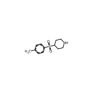 Cc1ccc(S(=O)(=O)C2CCNCC2)cc1